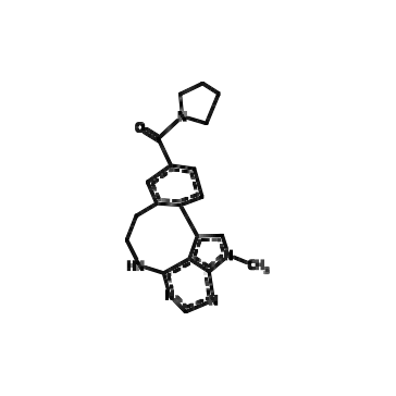 Cn1cc2c3c(ncnc31)NCCc1cc(C(=O)N3CCCC3)ccc1-2